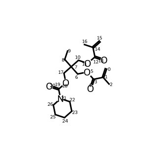 C=C(C)C(=O)OCC(CC)(COC(=O)C(=C)C)COC(=O)N1CCCCC1